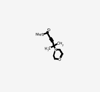 CSC(=O)C#CC(C)(C)N1CCOCC1